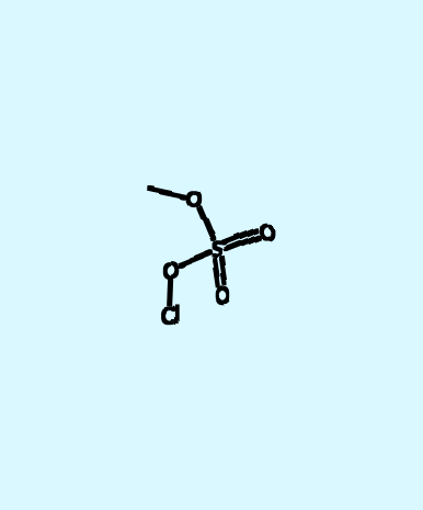 COS(=O)(=O)OCl